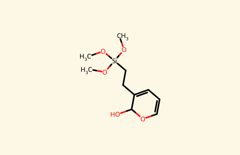 CO[Si](CCC1=CC=COC1O)(OC)OC